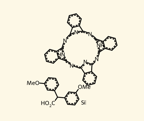 COc1cccc(C(C(=O)O)c2cccc(OC)c2)c1.[Si].c1ccc2c(c1)-c1nc-2nc2[nH]c(nc3nc(nc4[nH]c(n1)c1ccccc41)-c1ccccc1-3)c1ccccc21